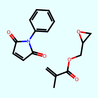 C=C(C)C(=O)OCC1CO1.O=C1C=CC(=O)N1c1ccccc1